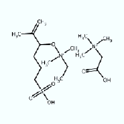 C=C(C)C(CCCS(=O)(=O)O)O[N+](C)(C)CC.C[N+](C)(C)CC(=O)O